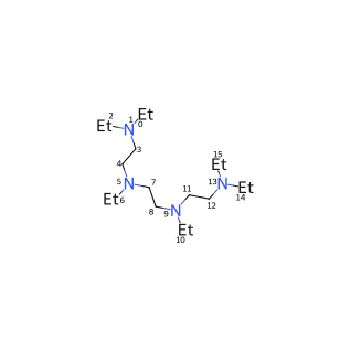 CCN(CC)CCN(CC)CCN(CC)CCN(CC)CC